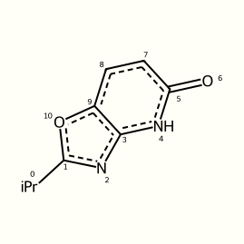 CC(C)c1nc2[nH]c(=O)ccc2o1